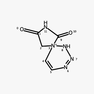 O=C1C[N+]2(C=CN=NN2)C(=O)N1